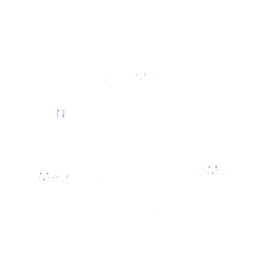 COc1ccc(OC)c(-c2ncc[s+]2[O-])c1